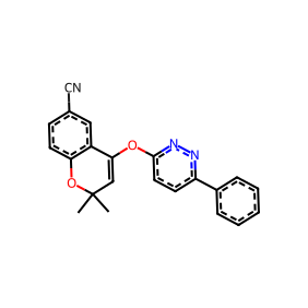 CC1(C)C=C(Oc2ccc(-c3ccccc3)nn2)c2cc(C#N)ccc2O1